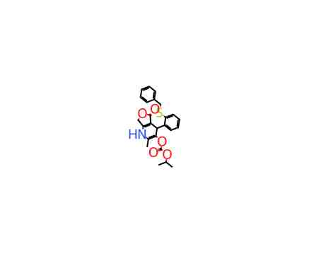 CC1=C(OC(=O)OC(C)C)C(c2ccccc2SCc2ccccc2)C2=C(COC2=O)N1